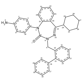 Nc1ccc(N2C(=O)N(Cc3ccccc3-c3ccccc3)N=C(C3CCCCC3)c3ccccc32)cc1